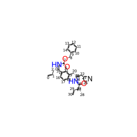 C=CC[C@H](NC(=O)OCc1ccccc1)c1cccc(C[C@H](CC#N)NC(=O)[C@H](C)C=C)c1